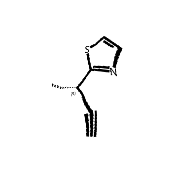 C#C[C@H](C)c1nccs1